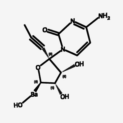 CC#C[C@@]1(n2ccc(N)nc2=O)O[C@H]([Ba][OH])[C@@H](O)[C@H]1O